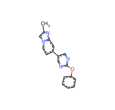 Cc1cn2ccc(-c3cnc(Oc4ccccc4)nc3)cc2n1